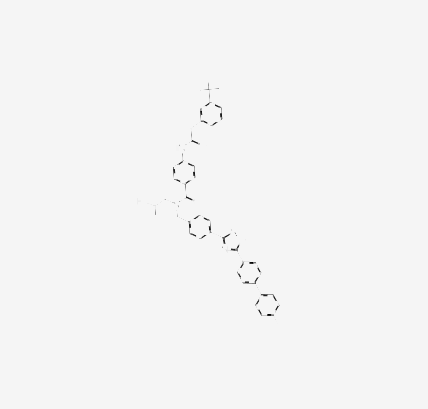 Cc1ccc(-c2ccc(-c3nc(-c4ccc(CN(CC(O)O)C(=O)c5ccc(NC(=O)Cc6cccc(C(F)(F)F)c6)cc5)cc4)no3)cc2)cc1